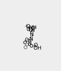 Cc1cccc2c1-c1c(C3CCCCC3)c3ccc(C(=O)O)cc3n1C[C@@H](N(C)CCN1CCC(N(C)S(=O)(=O)NC(=O)OC(C)(C)C)C1)CO2